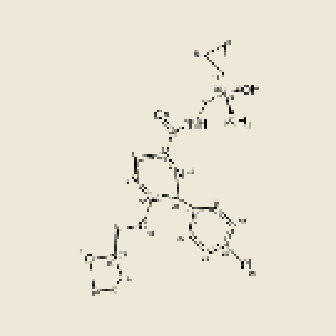 C[C@@](O)(CNC(=O)c1cnc(OC[C@H]2CCCO2)c(-c2ccc(Cl)cc2)n1)C1CC1